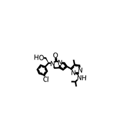 Cc1cnc(NC(C)C)nc1-c1cc2n(c1)C(=O)N([C@H](CO)c1cccc(Cl)c1)C2